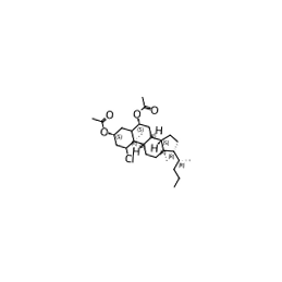 CCC[C@@H](C)[C@H]1CC[C@H]2[C@@H]3C[C@H](OC(C)=O)C4C[C@H](OC(C)=O)CC(Cl)[C@]4(C)[C@H]3CC[C@]12C